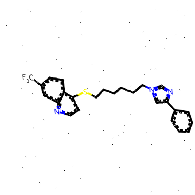 FC(F)(F)c1ccc2c(SCCCCCCn3cnc(-c4ccccc4)c3)ccnc2c1